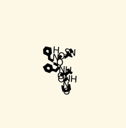 CC(C)[C@H](NC(=O)N1CCOCC1)C(=O)N[C@H](CC[C@H](Cc1ccccc1)NC(=O)OCc1cncs1)Cc1ccccc1